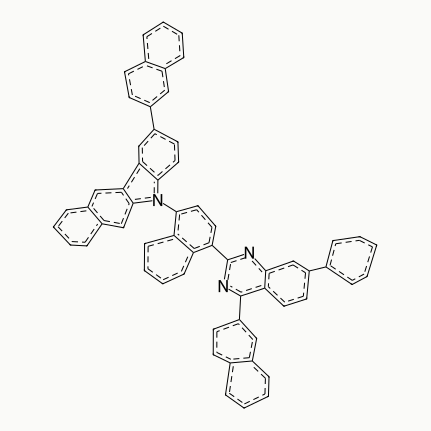 c1ccc(-c2ccc3c(-c4ccc5ccccc5c4)nc(-c4ccc(-n5c6ccc(-c7ccc8ccccc8c7)cc6c6cc7ccccc7cc65)c5ccccc45)nc3c2)cc1